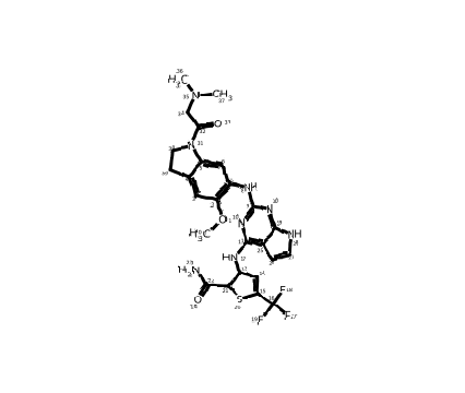 COc1cc2c(cc1Nc1nc(NC3C=C(C(F)(F)F)SC3C(N)=O)c3cc[nH]c3n1)N(C(=O)CN(C)C)CC2